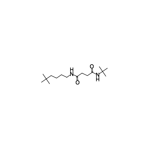 CC(C)(C)CCCCNC(=O)CCC(=O)NC(C)(C)C